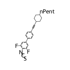 CCCCCC1CCC(C#Cc2ccc(-c3cc(F)c(N=C=S)c(F)c3)cc2)CC1